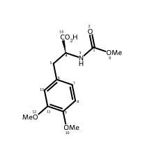 COC(=O)N[C@@H](Cc1ccc(OC)c(OC)c1)C(=O)O